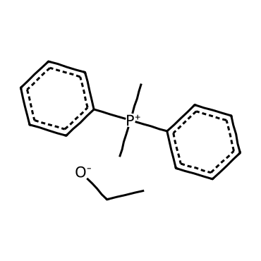 CC[O-].C[P+](C)(c1ccccc1)c1ccccc1